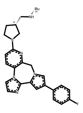 CC[C@@H](C)NC[C@H]1CCN(c2ccc3c(n2)Cn2cc(-c4ccc(F)cc4)cc2-c2nccn2-3)C1